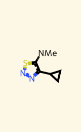 CNc1snnc1C1CC1